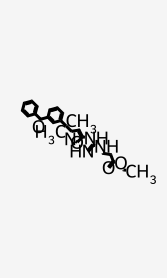 CCOC(=O)CCNC(=N)Nc1cc(C(C)(C)c2cccc(C(=O)c3ccccc3)c2)no1